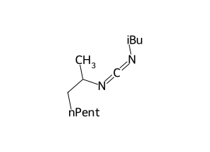 CCCCCCC(C)N=C=NC(C)CC